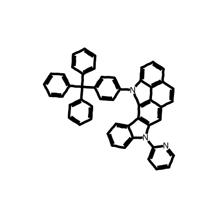 c1ccc(C(c2ccccc2)(c2ccccc2)c2ccc(-n3c4cccc5ccc6cc7c(c8ccccc8n7-c7ccccn7)c3c6c54)cc2)cc1